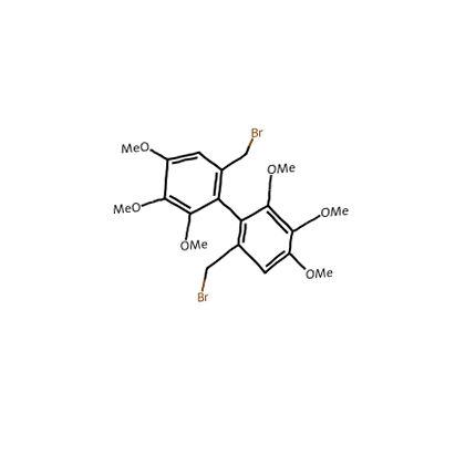 COc1cc(CBr)c(-c2c(CBr)cc(OC)c(OC)c2OC)c(OC)c1OC